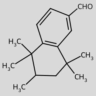 CC1CC(C)(C)c2cc(C=O)ccc2C1(C)C